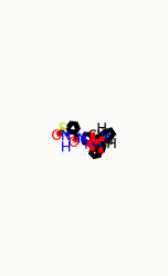 Cc1nc2ccccc2n1C1C[C@H]2CC[C@@H](C1)N2CCC1(c2ccccc2)CCN(C(=O)c2cccc3sc(=O)[nH]c23)CC1